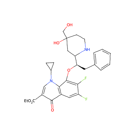 CCOC(=O)c1cn(C2CC2)c2c(O[C@H](Cc3ccccc3)C3CC(O)(CO)CCN3)c(F)c(F)cc2c1=O